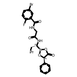 CC(C)C[C@H](NC(=O)CNC(=O)c1cc(Br)ccc1F)B1OC(=O)[C@@H](c2ccccc2)O1